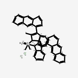 CC1=C(c2cccc3cc4ccccc4cc23)c2ccccc2[CH]1[Zr+2]([CH3])([CH3])(=[SiH2])[CH]1C(C)=C(c2cccc3cc4ccccc4cc23)c2ccccc21.[Cl-].[Cl-]